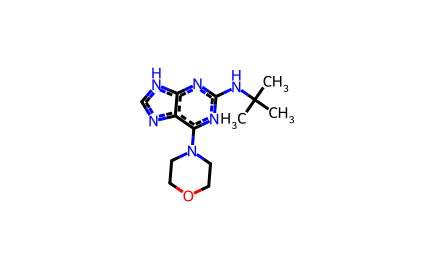 CC(C)(C)Nc1nc(N2CCOCC2)c2nc[nH]c2n1